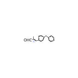 C/C(C=O)=C\c1ccc(Cc2ccccc2)cc1